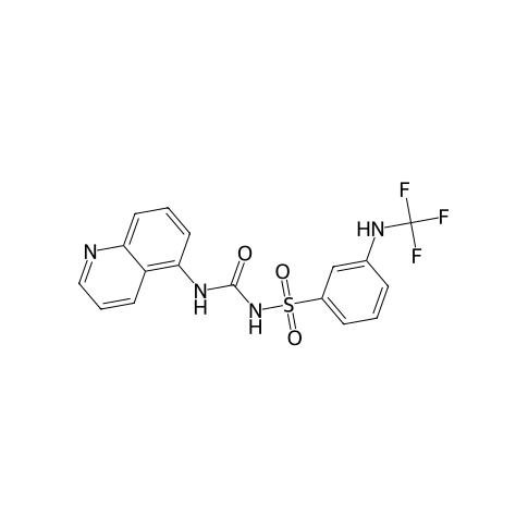 O=C(Nc1cccc2ncccc12)NS(=O)(=O)c1cccc(NC(F)(F)F)c1